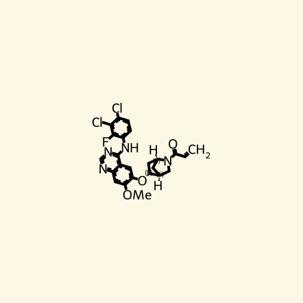 C=CC(=O)N1C[C@@H]2C[C@H]1C[C@H]2Oc1cc2c(Nc3ccc(Cl)c(Cl)c3F)ncnc2cc1OC